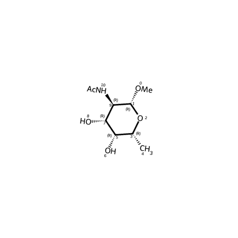 CO[C@@H]1O[C@H](C)[C@H](O)[C@H](O)[C@H]1NC(C)=O